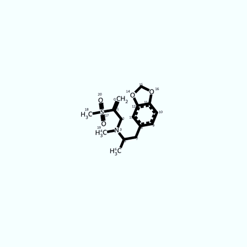 C=C(CN(C)C(C)Cc1ccc2c(c1)OCO2)S(C)(=O)=O